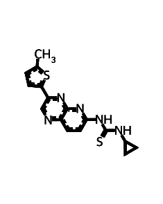 Cc1ccc(-c2cnc3ccc(NC(=S)NC4CC4)nc3n2)s1